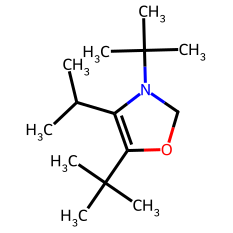 CC(C)C1=C(C(C)(C)C)OCN1C(C)(C)C